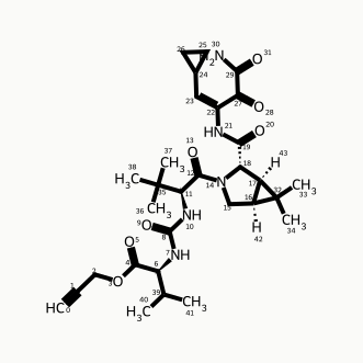 C#CCOC(=O)[C@@H](NC(=O)N[C@H](C(=O)N1C[C@H]2[C@@H]([C@H]1C(=O)N/C(=C/C1CC1)C(=O)C(N)=O)C2(C)C)C(C)(C)C)C(C)C